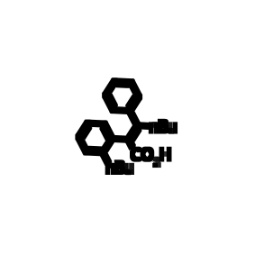 CCCCC(=C(C(=O)O)c1ccccc1CCCC)c1ccccc1